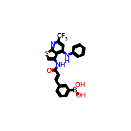 O=C(/C=C/c1cccc(B(O)O)c1)Nc1csc2nc(C(F)(F)F)cc(Nc3ccccc3)c12